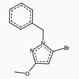 COc1cc(Br)n(Cc2ccccc2)n1